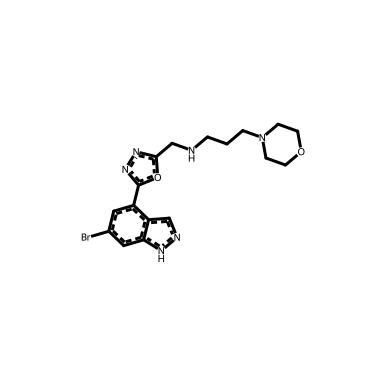 Brc1cc(-c2nnc(CNCCCN3CCOCC3)o2)c2cn[nH]c2c1